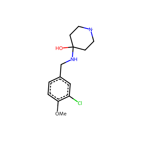 COc1ccc(CNC2(O)CC[N]CC2)cc1Cl